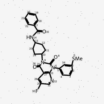 CSc1cccc(-n2c(=O)n(C3CCC(NC(=O)c4ccccc4)CC3)c(=O)c3cc(F)cnc32)c1